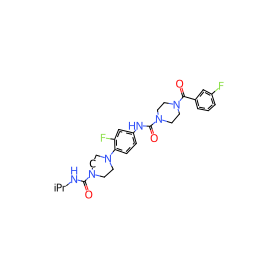 CC(C)NC(=O)N1CCN(c2ccc(NC(=O)N3CCN(C(=O)c4cccc(F)c4)CC3)cc2F)CC1